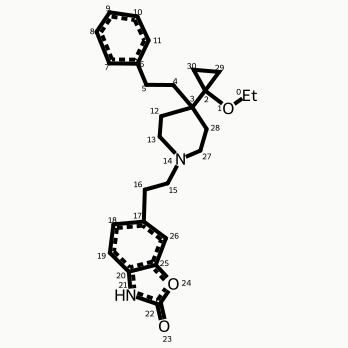 CCOC1(C2(CCc3ccccc3)CCN(CCc3ccc4[nH]c(=O)oc4c3)CC2)CC1